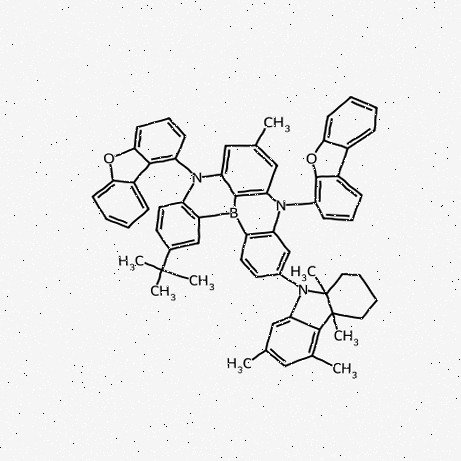 Cc1cc2c3c(c1)N(c1cccc4oc5ccccc5c14)c1ccc(C(C)(C)C)cc1B3c1ccc(N3c4cc(C)cc(C)c4C4(C)CCCCC34C)cc1N2c1cccc2c1oc1ccccc12